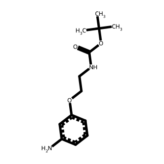 CC(C)(C)OC(=O)NCCOc1cccc(N)c1